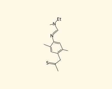 CCN(C)/C=N/c1cc(C)c(CC(C)=S)cc1C